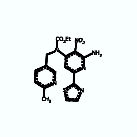 CCOC(=O)N(Cc1ccc(C)nc1)c1cc(-c2nccs2)nc(N)c1[N+](=O)[O-]